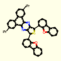 CC(C)c1ccc2c3ccc(C(C)C)cc3c3nc4c(-c5cccc6c5oc5ccccc56)sc(-c5cccc6c5oc5ccccc56)c4nc3c2c1